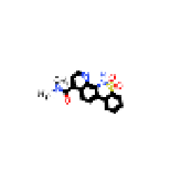 CN(C)C(=O)c1ccnc2c3c(ccc12)-c1ccccc1S(=O)(=O)N3